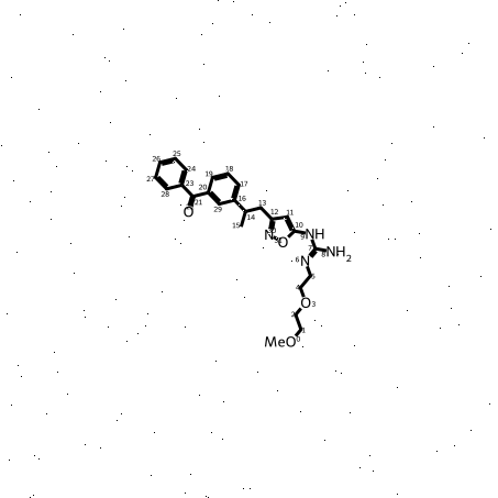 COCCOCCN=C(N)Nc1cc(CC(C)c2cccc(C(=O)c3ccccc3)c2)no1